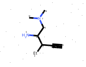 C#CC(CC)C(N)CN(C)C